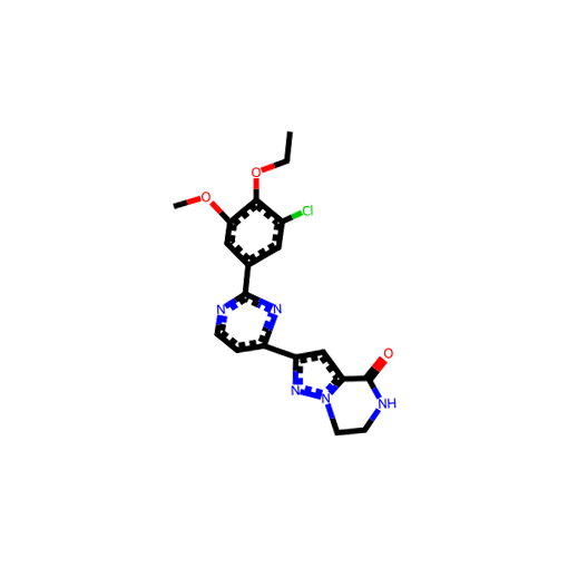 CCOc1c(Cl)cc(-c2nccc(-c3cc4n(n3)CCNC4=O)n2)cc1OC